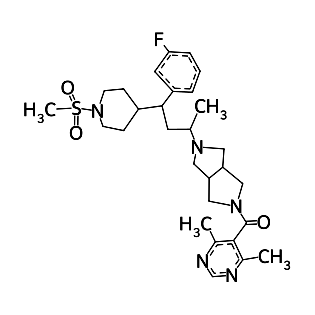 Cc1ncnc(C)c1C(=O)N1CC2CN(C(C)CC(c3cccc(F)c3)C3CCN(S(C)(=O)=O)CC3)CC2C1